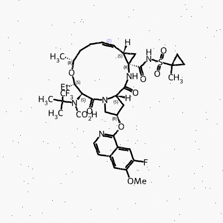 CC[C@@H]1O[C@H](C)CC/C=C\[C@@H]2C[C@@]2(C(=O)NS(=O)(=O)C2(C)CC2)NC(=O)[C@@H]2C[C@@H](Oc3nccc4cc(OC)c(F)cc34)CN2C(=O)[C@H]1N(C(=O)O)C(C)(C)C(F)(F)F